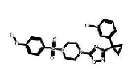 CCOc1ccc(S(=O)(=O)N2CCN(c3nc(C4(c5cccc(Cl)c5)CC4)no3)CC2)cc1